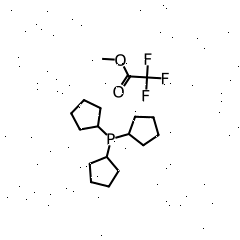 C1CCC(P(C2CCCC2)C2CCCC2)C1.COC(=O)C(F)(F)F